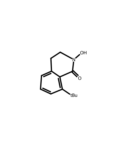 CC(C)(C)c1cccc2c1C(=O)N(O)CC2